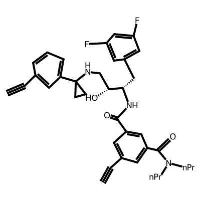 C#Cc1cc(C(=O)N[C@@H](Cc2cc(F)cc(F)c2)[C@H](O)CNC2(c3cccc(C#C)c3)CC2)cc(C(=O)N(CCC)CCC)c1